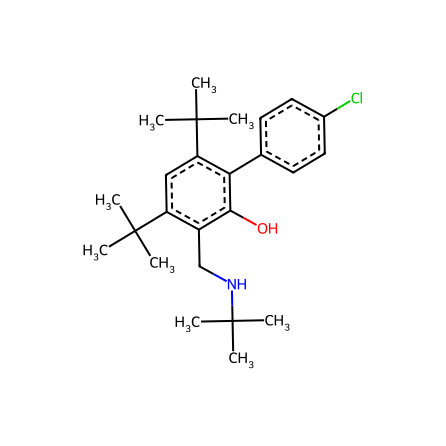 CC(C)(C)NCc1c(C(C)(C)C)cc(C(C)(C)C)c(-c2ccc(Cl)cc2)c1O